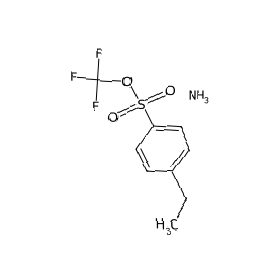 CCc1ccc(S(=O)(=O)OC(F)(F)F)cc1.N